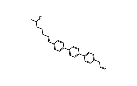 C=CCc1ccc(-c2ccc(-c3ccc(C=CCCCC(C)F)cc3)cc2)cc1